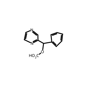 O=C(O)OC(c1ccccc1)c1cnccn1